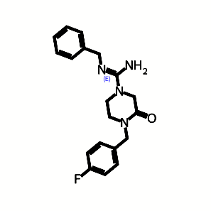 N/C(=N\Cc1ccccc1)N1CCN(Cc2ccc(F)cc2)C(=O)C1